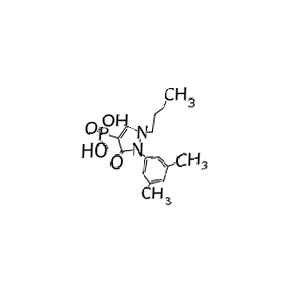 CCCCn1cc(P(=O)(O)O)c(=O)n1-c1cc(C)cc(C)c1